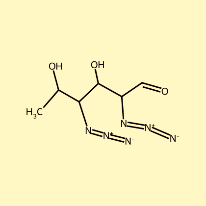 CC(O)C(N=[N+]=[N-])C(O)C(C=O)N=[N+]=[N-]